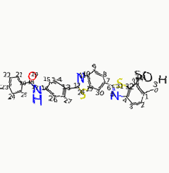 Cc1ccc2nc(-c3ccc4nc(-c5ccc(NC(=O)c6ccccc6)cc5)sc4c3)sc2c1S(=O)(=O)O